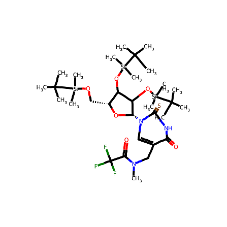 CN(Cc1cn([C@@H]2O[C@H](CO[Si](C)(C)C(C)(C)C)C(O[Si](C)(C)C(C)(C)C)C2O[Si](C)(C)C(C)(C)C)c(=S)[nH]c1=O)C(=O)C(F)(F)F